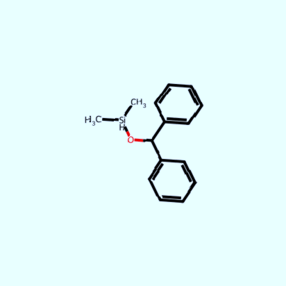 C[SiH](C)OC(c1ccccc1)c1ccccc1